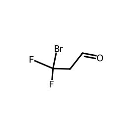 O=CCC(F)(F)Br